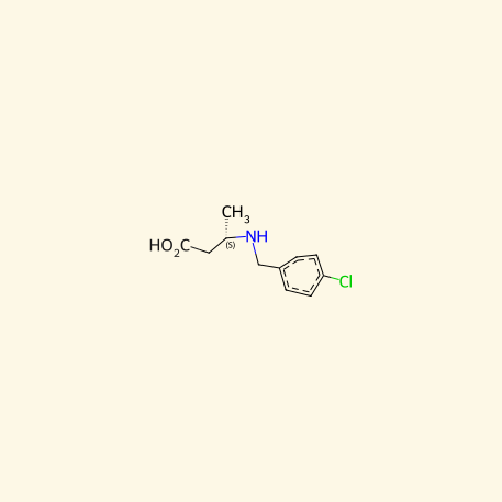 C[C@@H](CC(=O)O)NCc1ccc(Cl)cc1